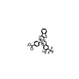 COC(=O)c1ccc(S(=O)(=O)N(Cc2ccc([18F])c(C(F)(F)F)c2)c2sc3ccccc3c2C)cc1